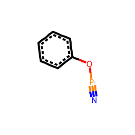 N#[P]Oc1ccccc1